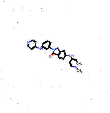 C=N/C=C\C(=C/C)Nc1ccc2c(c1)CN(c1cccc(Nc3ccncc3)c1)C2=O